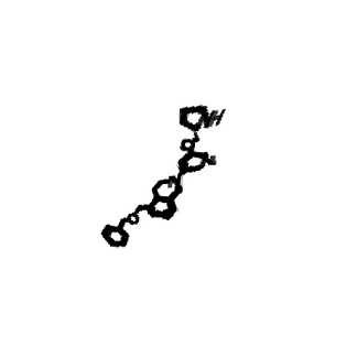 c1ccc(COCc2cccc3c2CCN(c2cncc(OC[C@@H]4CCCN4)c2)C3)cc1